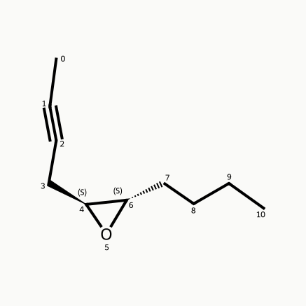 CC#CC[C@@H]1O[C@H]1CCCC